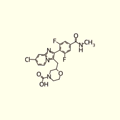 CNC(=O)c1cc(F)c(-c2nc3cc(Cl)ccn3c2CC2CN(C(=O)O)CCO2)c(F)c1